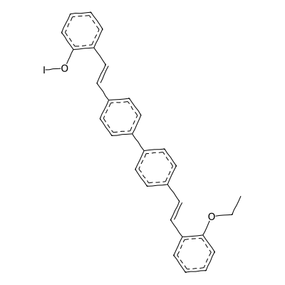 CCOc1ccccc1/C=C/c1ccc(-c2ccc(/C=C/c3ccccc3OI)cc2)cc1